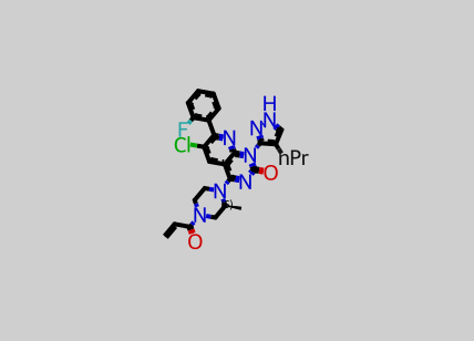 C=CC(=O)N1CCN(c2nc(=O)n(-c3n[nH]cc3CCC)c3nc(-c4ccccc4F)c(Cl)cc23)[C@@H](C)C1